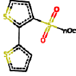 CCCCCCCCS(=O)(=O)c1ccsc1-c1cccs1